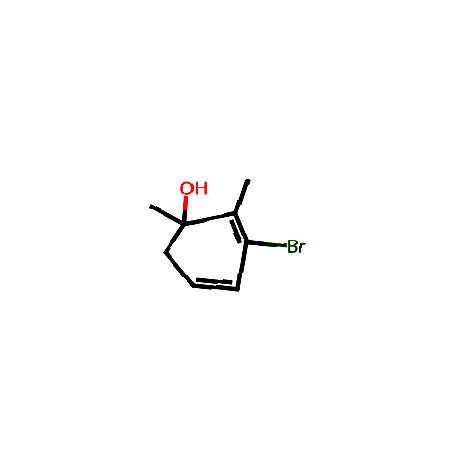 CC1=C(Br)C=CCC1(C)O